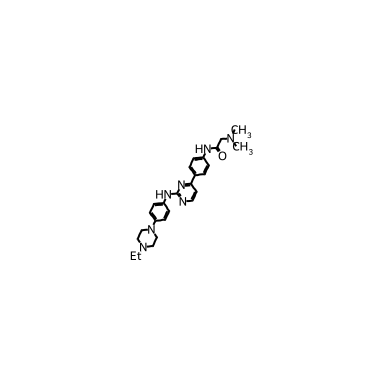 CCN1CCN(c2ccc(Nc3nccc(-c4ccc(NC(=O)CN(C)C)cc4)n3)cc2)CC1